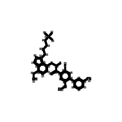 CCOc1cc(C(=O)N(C)Cc2cnc(CO)c3cnn(COCC[Si](C)(C)C)c23)c(F)cc1-c1cccc(C#N)c1